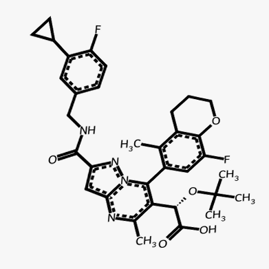 Cc1nc2cc(C(=O)NCc3ccc(F)c(C4CC4)c3)nn2c(-c2cc(F)c3c(c2C)CCCO3)c1[C@H](OC(C)(C)C)C(=O)O